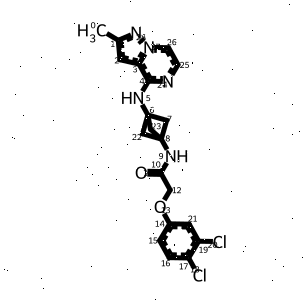 Cc1cc2c(NC34CC(NC(=O)COc5ccc(Cl)c(Cl)c5)(C3)C4)nccn2n1